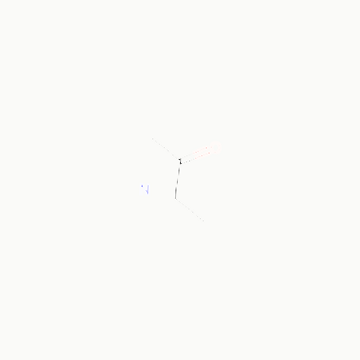 CCC(C)=O.[N]